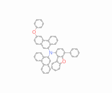 c1ccc(Oc2ccc3cc(N(c4cc5ccccc5c5ccccc45)c4ccc(-c5ccccc5)c5oc6ccccc6c45)c4ccccc4c3c2)cc1